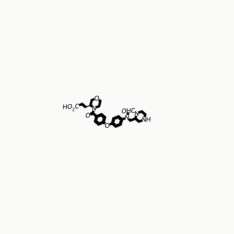 CN(CC1CNCCN1C=O)c1ccc(Oc2ccc(C(=O)N3CCOC[C@@H]3CCC(=O)O)cc2)cc1